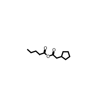 CCC[CH]C(=O)OC(=O)CC1CCCC1